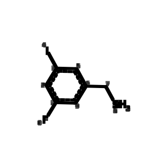 Fc1cc(I)cc(C[SiH3])c1